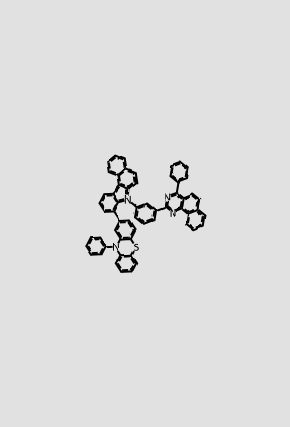 c1ccc(-c2nc(-c3cccc(-n4c5ccc6ccccc6c5c5cccc(-c6ccc7c(c6)N(c6ccccc6)c6ccccc6S7)c54)c3)nc3c2ccc2ccccc23)cc1